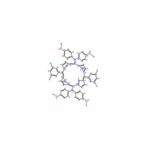 COc1ccc(N(c2ccc(OC)cc2)c2c3nc(c(-c4cc(C)cc(C)c4)c4ccc([nH]4)c(N(c4ccc(OC)cc4)c4ccc(OC)cc4)c4nc(c(-c5cc(C)cc(C)c5)c5ccc2[nH]5)C=C4)C=C3)cc1